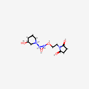 O=C1CCC(=O)N1CCOn1on1N1CCCC(O)C1